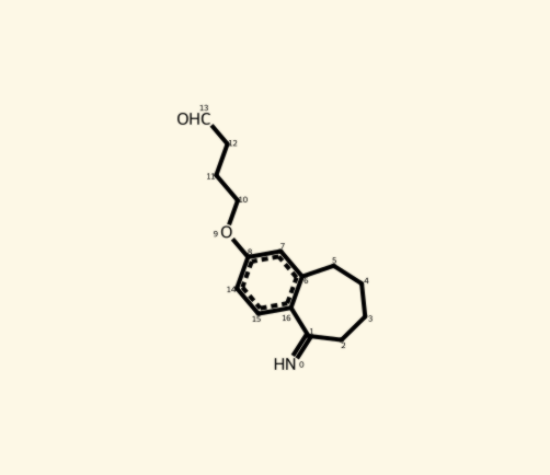 N=C1CCCCc2cc(OCCCC=O)ccc21